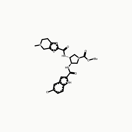 CN1CCc2nc(C(=O)N[C@@H]3CN(C(=O)OC(C)(C)C)C[C@H]3NC(=O)c3cc4cc(Cl)ccc4[nH]3)sc2C1